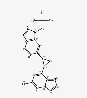 FC(F)(F)Cn1ncc2cnc([C@H]3CC3c3cc(Cl)nn4ccnc34)cc21